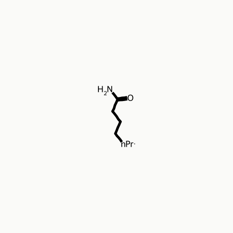 CC[CH]CCCC(N)=O